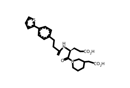 C=C(CCc1ccc(-c2cccs2)cc1)N[C@@H](CCC(=O)O)C(=O)N1CCCC(CC(=O)O)C1